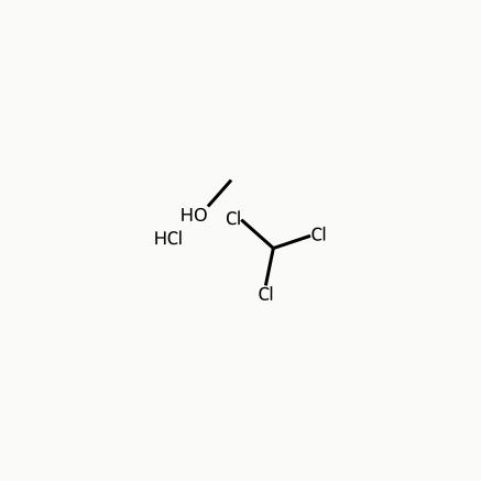 CO.Cl.ClC(Cl)Cl